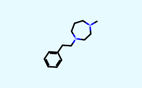 CN1CCCN(CCc2ccccc2)CC1